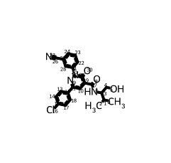 CC(C)C(CO)NC(=O)c1cc(-c2ccc(Cl)cc2)nn(-c2cccc(C#N)c2)c1=O